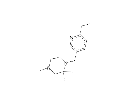 CCc1ccc(CN2CCN(C)CC2(C)C)cn1